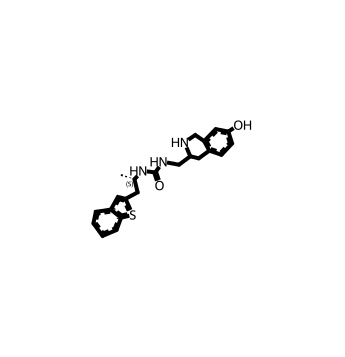 C[C@@H](Cc1cc2ccccc2s1)NC(=O)NCC1Cc2ccc(O)cc2CN1